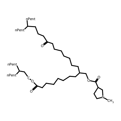 CCCCCC(CCCCC)CCCC(=O)CCCCCCCC(CCCCCCCC(=O)OCCC(CCCCC)CCCCC)COC(=O)C1CCN(C)C1